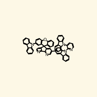 c1ccc2c(c1)Oc1ccc(-n3c4ccccc4c4ccccc43)cc1C21c2cccnc2-c2ncc(-c3ccc4c(c3)c3ccccc3n4-c3ncccc3-n3c4ccccc4c4ccccc43)cc21